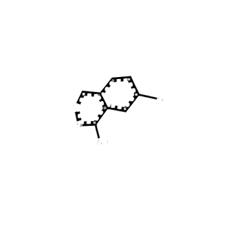 Nc1nncc2ccc(Br)cc12